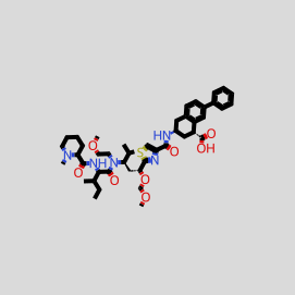 CCC(C)C(NC(=O)C1CCCCN1C)C(=O)N(CCOC)[C@H](C[C@@H](OCOC)c1nc(C(=O)N[C@H]2Cc3ccc(-c4ccccc4)cc3[C@H](C(=O)O)C2)cs1)C(C)C